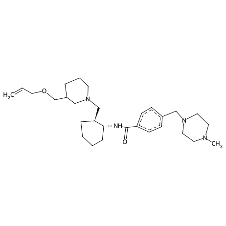 C=CCOCC1CCCN(C[C@@H]2CCCC[C@H]2NC(=O)c2ccc(CN3CCN(C)CC3)cc2)C1